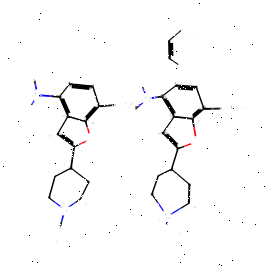 CCN(CC)c1ccc(OC)c2oc(C3CCN(C)CC3)cc12.CCN(CC)c1ccc(OC)c2oc(C3CCN(C)CC3)cc12.O=C(O)/C=C\C(=O)O